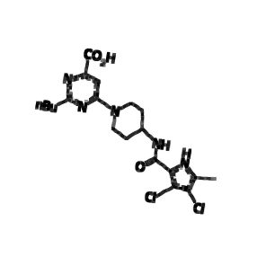 CCCCc1nc(C(=O)O)cc(N2CCC(NC(=O)c3[nH]c(C)c(Cl)c3Cl)CC2)n1